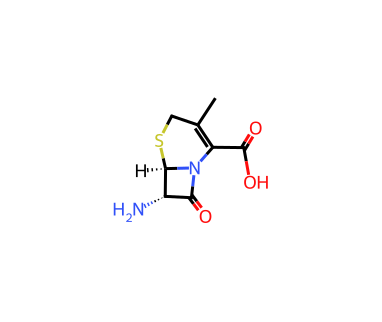 CC1=C(C(=O)O)N2C(=O)[C@H](N)[C@H]2SC1